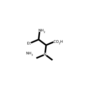 CCC(N)C(C(=O)O)N(C)C.N